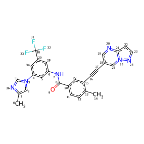 Cc1cn(-c2cc(NC(=O)c3ccc(C)c(C#Cc4cnc5ccnn5c4)c3)cc(C(F)(F)F)c2)cn1